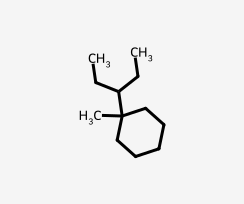 CCC(CC)C1(C)CCCCC1